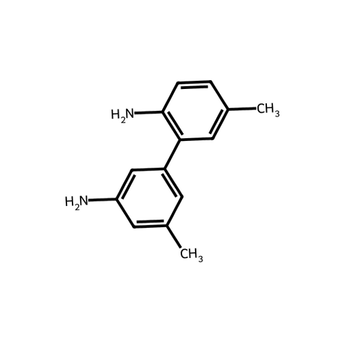 Cc1cc(N)cc(-c2cc(C)ccc2N)c1